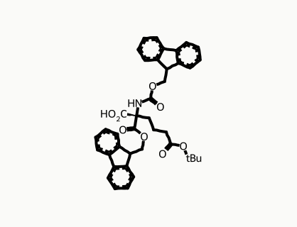 CC(C)(C)OC(=O)CCC[C@](NC(=O)OCC1c2ccccc2-c2ccccc21)(C(=O)O)C(=O)OCC1c2ccccc2-c2ccccc21